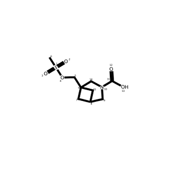 CS(=O)(=O)OCC12CC(CN(C(=O)O)C1)C2